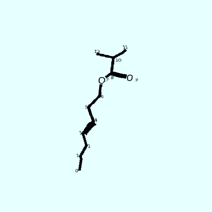 CCCC=CCCOC(=O)C(C)C